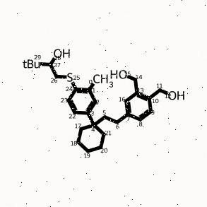 Cc1cc(C2(CCc3ccc(CO)c(CO)c3)CCCCC2)ccc1SCC(O)C(C)(C)C